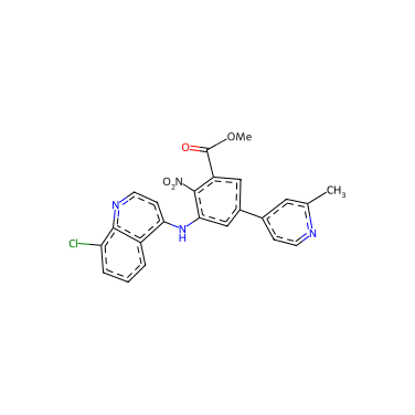 COC(=O)c1cc(-c2ccnc(C)c2)cc(Nc2ccnc3c(Cl)cccc23)c1[N+](=O)[O-]